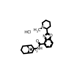 CN1CCCCC1c1nc2c(C(=O)NC3CC4CCCC(C3)N4C)cccc2o1.Cl